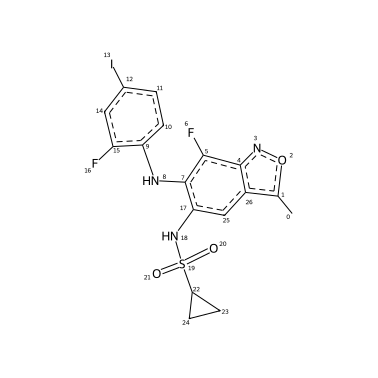 Cc1onc2c(F)c(Nc3ccc(I)cc3F)c(NS(=O)(=O)C3CC3)cc12